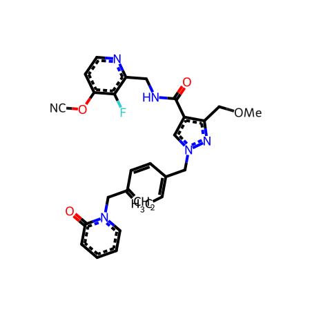 C=C(/C=C\C(=C/C)Cn1cc(C(=O)NCc2nccc(OC#N)c2F)c(COC)n1)Cn1ccccc1=O